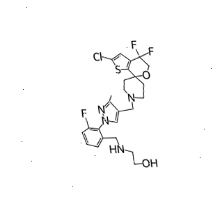 Cc1nn(-c2c(F)cccc2CNCCO)cc1CN1CCC2(CC1)OCC(F)(F)c1cc(Cl)sc12